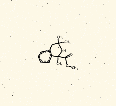 COC(=O)C1(C)NC(C)(C)Cc2ccccc21